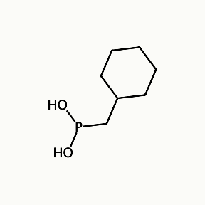 OP(O)CC1CCCCC1